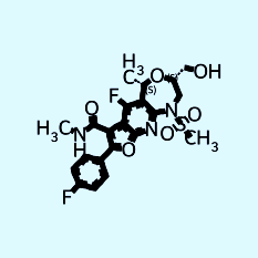 CNC(=O)c1c(-c2ccc(F)cc2)oc2nc3c(c(F)c12)[C@H](C)O[C@H](CO)CN3S(C)(=O)=O